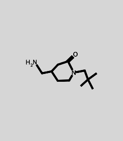 CC(C)(C)CN1CCC(CN)CC1=O